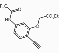 C#Cc1ccc(NC(=O)C(F)(F)F)cc1OCC(=O)OCC